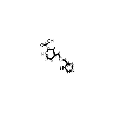 O=C(O)[C@@H]1CC(COCc2nnn[nH]2)CCN1